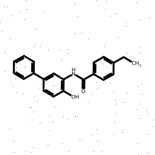 CCc1ccc(C(=O)Nc2cc(-c3ccccc3)ccc2O)cc1